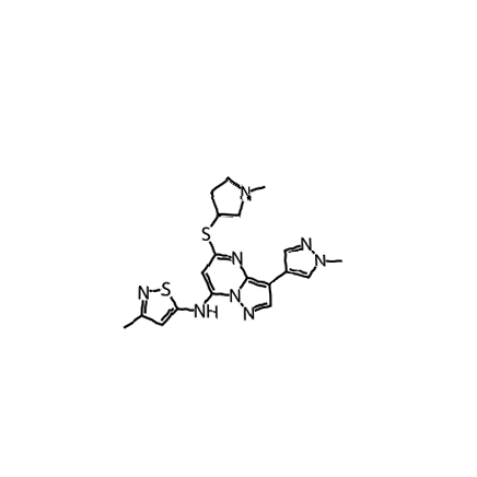 Cc1cc(Nc2cc(SC3CCN(C)C3)nc3c(-c4cnn(C)c4)cnn23)sn1